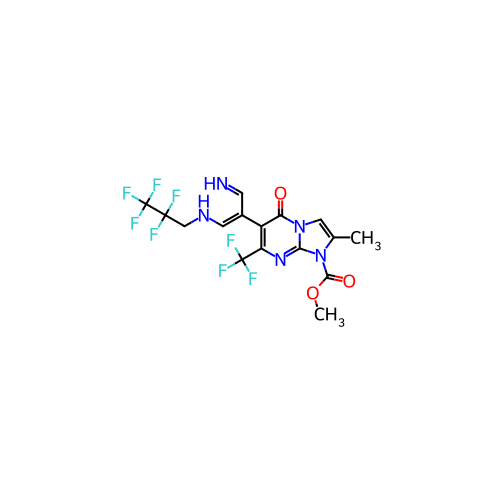 COC(=O)n1c(C)cn2c(=O)c(/C(C=N)=C/NCC(F)(F)C(F)(F)F)c(C(F)(F)F)nc12